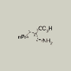 CCCCC(CN)C(=O)O